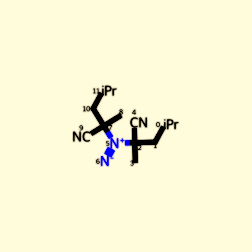 CC(C)CC(C)(C#N)[N+](=[N-])C(C)(C#N)CC(C)C